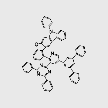 c1ccc(-c2cc(-c3ccccc3)cc(-c3cnc(-c4cccc5oc6cc7c(cc6c45)c4ccccc4n7-c4ccccc4)c(-c4nc(-c5ccccc5)nc(-c5ccccc5)n4)c3)c2)cc1